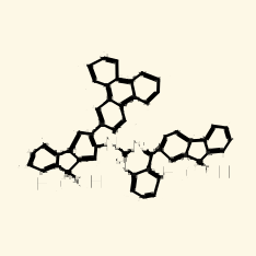 CC1(C)c2ccccc2-c2ccc(-c3nc(-n4c5cc6c(cc5c5cc7c8ccccc8c8ccccc8c7cc54)-c4ccccc4C6(C)C)nc4ccccc34)cc21